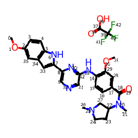 COc1ccc2[nH]c(-c3cncc(Nc4ccc(C(=O)N(C)C5CCN(C)C5)cc4OC)n3)cc2c1.O=C(O)C(F)(F)F